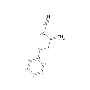 C=C(CCc1ccccc1)SC#N